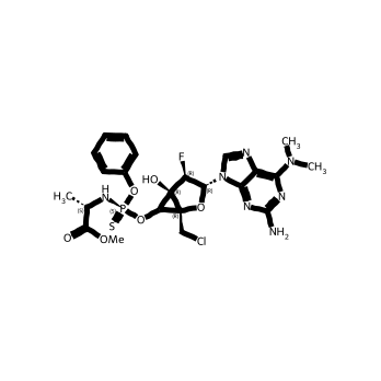 COC(=O)[C@H](C)N[P@@](=S)(Oc1ccccc1)OC1[C@@]2(CCl)O[C@@H](n3cnc4c(N(C)C)nc(N)nc43)[C@H](F)[C@@]12O